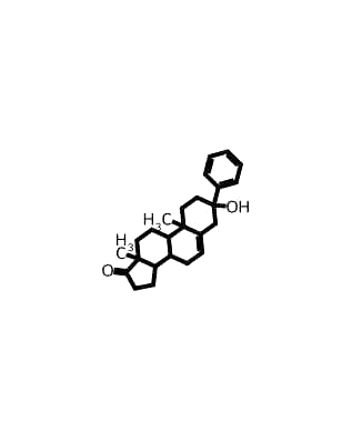 CC12CCC3C(CC=C4CC(O)(c5ccccc5)CCC43C)C1CCC2=O